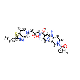 CC(=O)N1CCC(Nc2cc(C(=O)NC[C@H](O)CN3CCc4sc(C)nc4C3)ccn2)CC1